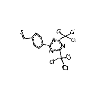 S=Cc1ccc(-c2nc(C(Cl)(Cl)Cl)nc(C(Cl)(Cl)Cl)n2)cc1